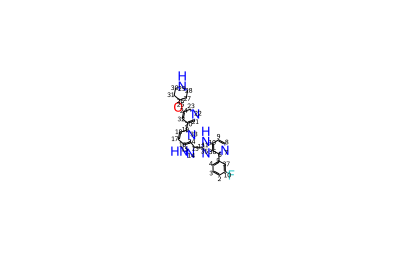 Fc1cccc(-c2nccc3[nH]c(-c4n[nH]c5ccc(-c6cncc(OC7CCNCC7)c6)nc45)nc23)c1